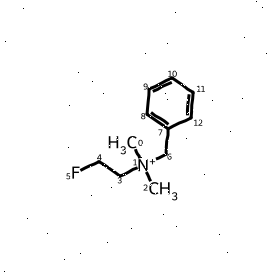 C[N+](C)(CCF)Cc1ccccc1